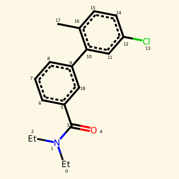 CCN(CC)C(=O)c1cccc(-c2cc(Cl)ccc2C)c1